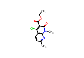 CCOC(=O)c1c(Cl)c2ccc(C)nc2n(C)c1=O